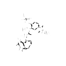 Cc1nc2cccc(NC(=S)Nc3cc(S(N)(=O)=O)ccc3OC(F)(F)F)c2n1C